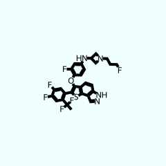 CC(F)(F)c1cc(F)c(F)cc1-c1sc2c(ccc3[nH]ncc32)c1Oc1ccc(NC2CN(CCCF)C2)cc1F